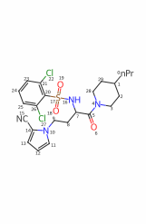 CCCC1CCN(C(=O)C(CCn2cccc2C#N)NS(=O)(=O)c2c(Cl)cccc2Cl)CC1